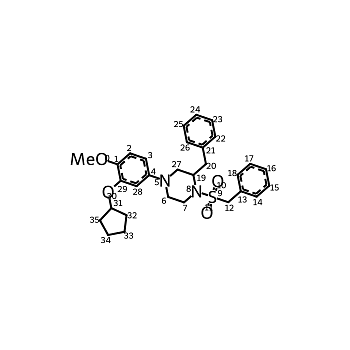 COc1ccc(N2CCN(S(=O)(=O)Cc3ccccc3)C(Cc3ccccc3)C2)cc1OC1CCCC1